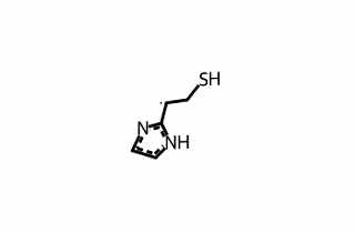 SC[CH]c1ncc[nH]1